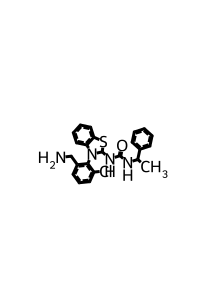 CC(NC(=O)NC1Sc2ccccc2N1c1c(Cl)cccc1CN)c1ccccc1